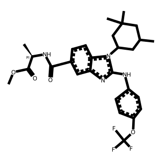 COC(=O)[C@@H](C)NC(=O)c1ccc2c(c1)nc(Nc1ccc(OC(F)(F)F)cc1)n2C1CC(C)CC(C)(C)C1